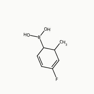 CC1C=C(F)C=CC1B(O)O